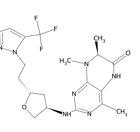 Cc1nc(N[C@H]2CO[C@H](CCn3nccc3C(F)(F)F)C2)nc2c1NC(=O)[C@H](C)N2C